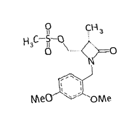 COc1ccc(CN2C(=O)[C@@H](C)[C@H]2COS(C)(=O)=O)c(OC)c1